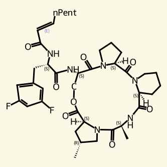 CCCCC/C=C/C(=O)N[C@@H](Cc1cc(F)cc(F)c1)C(=O)N[C@H]1COC(=O)[C@@H]2C[C@@H](C)CN2C(=O)[C@H](C)NC(=O)[C@@H]2CCCCN2C(=O)[C@@H]2CCCN2C1=O